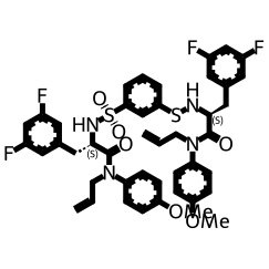 C=CCN(C(=O)[C@H](Cc1cc(F)cc(F)c1)NSc1cccc(S(=O)(=O)N[C@@H](Cc2cc(F)cc(F)c2)C(=O)N(CC=C)c2ccc(OC)cc2)c1)c1ccc(OC)cc1